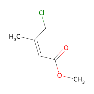 COC(=O)/C=C(/C)CCl